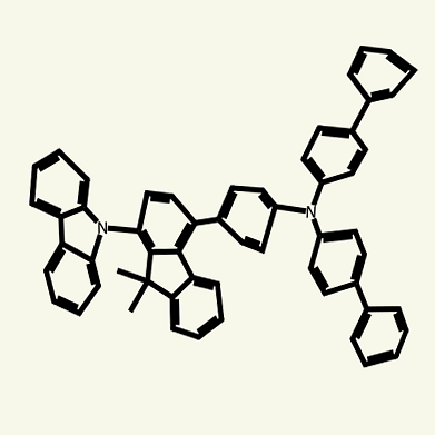 CC1(C)c2ccccc2-c2c(-c3ccc(N(c4ccc(-c5ccccc5)cc4)c4ccc(-c5ccccc5)cc4)cc3)ccc(-n3c4ccccc4c4ccccc43)c21